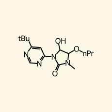 CCCOC1C(O)N(c2cc(C(C)(C)C)ncn2)C(=O)N1C